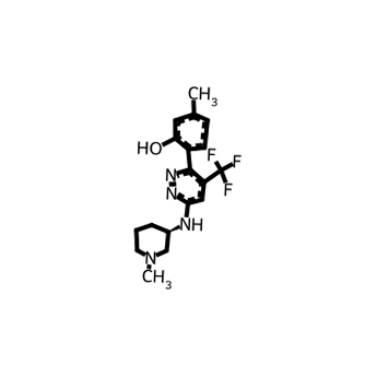 Cc1ccc(-c2nnc(N[C@@H]3CCCN(C)C3)cc2C(F)(F)F)c(O)c1